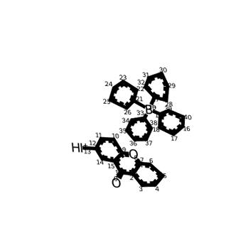 O=c1c2ccccc2oc2ccc([IH+])cc12.c1ccc([B-](c2ccccc2)(c2ccccc2)c2ccccc2)cc1